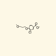 COCCCOc1ccc(C(=O)OC)cc1Cl